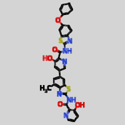 Cc1cc(-c2cnc(C(=O)Nc3nc4ccc(Oc5ccccc5)cc4s3)c(O)c2)cc2sc(NC(=O)c3ncccc3O)nc12